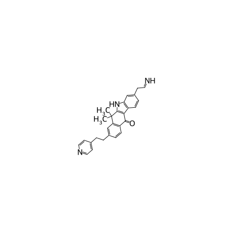 CC1(C)c2cc(CCc3ccncc3)ccc2C(=O)c2c1[nH]c1cc(CC=N)ccc21